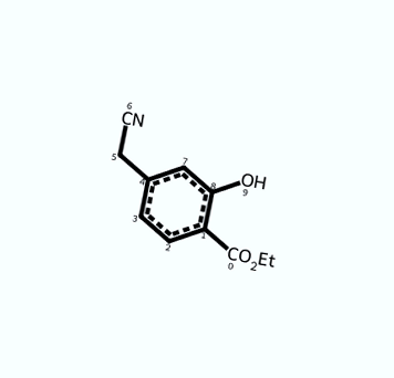 CCOC(=O)c1ccc(CC#N)cc1O